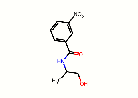 CC(CO)NC(=O)c1cccc([N+](=O)[O-])c1